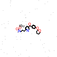 CN(CCCc1ccc(C(=O)c2ccc(OC3CCCCO3)cc2)cn1)C(=O)OC(C)(C)C